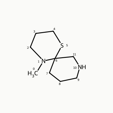 CN1CCCSC12CCCNC2